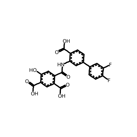 O=C(O)c1cc(C(=O)O)c(C(=O)Nc2cc(-c3ccc(F)c(F)c3)ccc2C(=O)O)cc1O